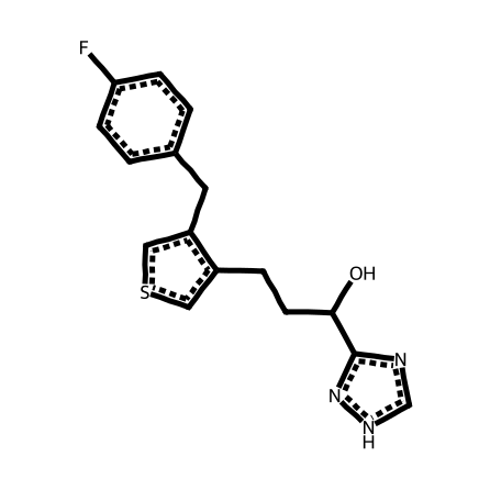 OC(CCc1cscc1Cc1ccc(F)cc1)c1nc[nH]n1